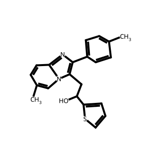 Cc1ccc(-c2nc3ccc(C)cn3c2CC(O)c2cccs2)cc1